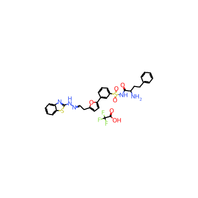 NC(CCc1ccccc1)C(=O)NS(=O)(=O)c1cccc(-c2ccc(CC=NNc3nc4ccccc4s3)o2)c1.O=C(O)C(F)(F)F